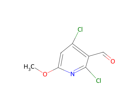 COc1cc(Cl)c(C=O)c(Cl)n1